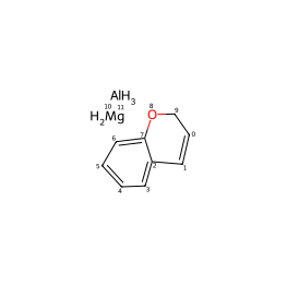 C1=Cc2ccccc2OC1.[AlH3].[MgH2]